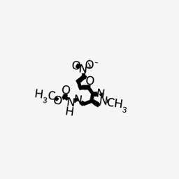 COC(=O)NN=Cc1cn(C)nc1-c1ccc([N+](=O)[O-])o1